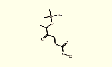 CCOC(=S)SCC(=O)[C@@H](C)O[Si](C)(C)C(C)(C)C